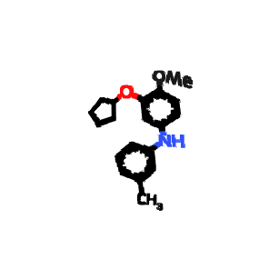 COc1ccc(Nc2cccc(C)c2)cc1OC1CCCC1